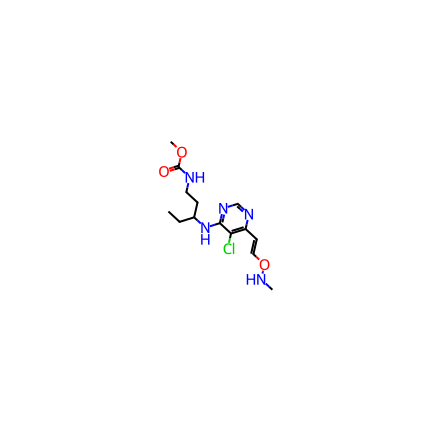 CCC(CCNC(=O)OC)Nc1ncnc(/C=C/ONC)c1Cl